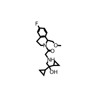 COCC1c2ccc(F)cc2CCN1C(=O)CNCC(O)(C1CC1)C1CC1